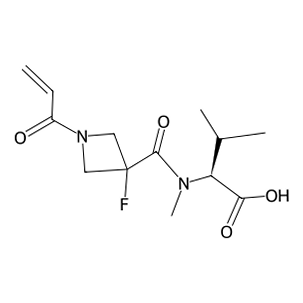 C=CC(=O)N1CC(F)(C(=O)N(C)[C@H](C(=O)O)C(C)C)C1